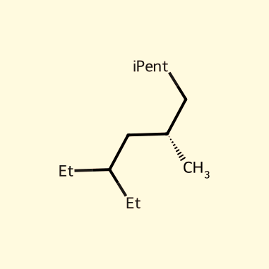 CCCC(C)C[C@H](C)CC(CC)CC